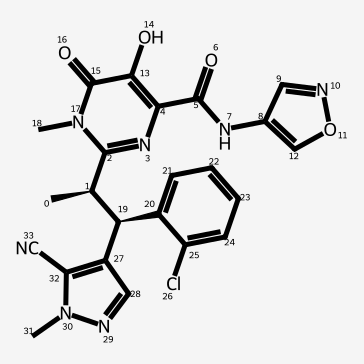 C[C@@H](c1nc(C(=O)Nc2cnoc2)c(O)c(=O)n1C)[C@@H](c1ccccc1Cl)c1cnn(C)c1C#N